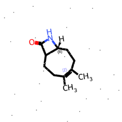 C/C1=C(\C)CC[C@H]2NC(=O)C2CC1